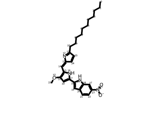 CCCCCCCCCCCC1=NC(=Cc2[nH]c(-c3cc4ccc([N+](=O)[O-])cc4[nH]3)cc2OC)C=C1